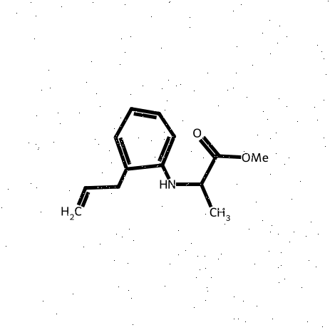 C=CCc1ccccc1NC(C)C(=O)OC